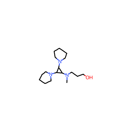 CN(CCCO)C1C(N2CCCCC2)C1N1CCCCC1